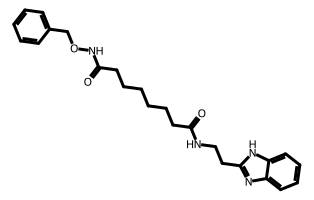 O=C(CCCCCCC(=O)NOCc1ccccc1)NCCc1nc2ccccc2[nH]1